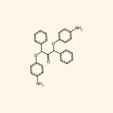 Nc1ccc(OC(C(=O)C(Oc2ccc(N)cc2)c2ccccc2)c2ccccc2)cc1